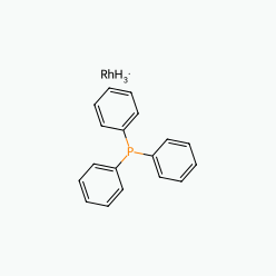 [RhH3].c1ccc(P(c2ccccc2)c2ccccc2)cc1